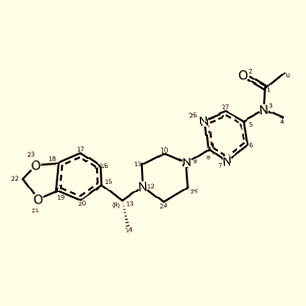 CC(=O)N(C)c1cnc(N2CCN([C@H](C)c3ccc4c(c3)OCO4)CC2)nc1